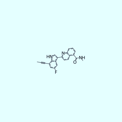 CC#Cc1cc(F)cc2c(-c3ccc4c(C(=O)NC)cccc4n3)c[nH]c12